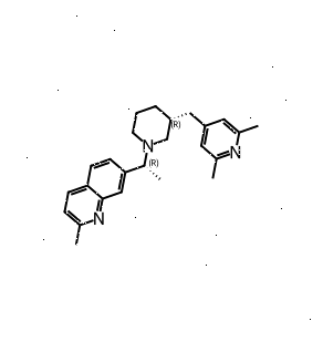 Cc1cc(C[C@H]2CCCN([C@H](C)c3ccc4ccc(C)nc4c3)C2)cc(C)n1